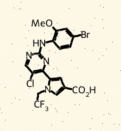 COc1cc(Br)ccc1Nc1ncc(Cl)c(-c2cc(C(=O)O)cn2CC(F)(F)F)n1